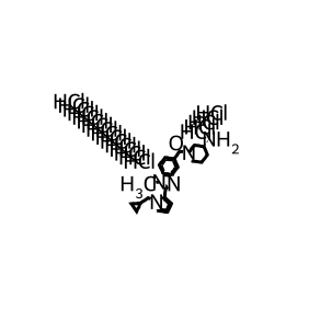 Cl.Cl.Cl.Cl.Cl.Cl.Cl.Cl.Cl.Cl.Cl.Cl.Cl.Cl.Cl.Cl.Cl.Cl.Cl.Cl.Cl.Cn1c(-c2cccn2CC2CC2)nc2cc(C(=O)N3CCC[C@@H](N)C3)ccc21